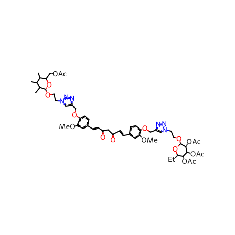 CCC1OC(OCCn2cc(COc3ccc(/C=C/C(=O)CC(=O)/C=C/c4ccc(OCc5cn(CCOC6OC(COC(C)=O)C(C)C(C)C6C)nn5)c(OC)c4)cc3OC)nn2)C(OC(C)=O)C(OC(C)=O)C1OC(C)=O